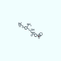 Cc1ncoc1COc1ccc(CC[C@H](O)CNC(=O)c2ccc(C(=O)N3C4CCCC3COC4)cc2)c(CN)c1